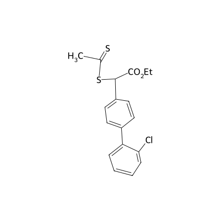 CCOC(=O)C(SC(C)=S)c1ccc(-c2ccccc2Cl)cc1